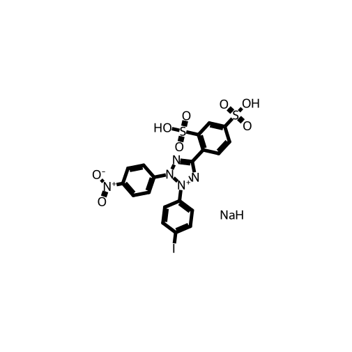 O=[N+]([O-])c1ccc(-n2nc(-c3ccc(S(=O)(=O)O)cc3S(=O)(=O)O)n[n+]2-c2ccc(I)cc2)cc1.[NaH]